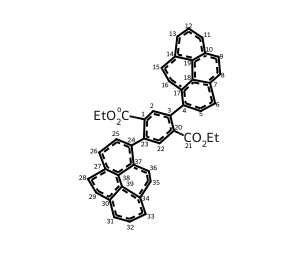 CCOC(=O)c1cc(-c2ccc3ccc4cccc5ccc2c3c45)c(C(=O)OCC)cc1-c1ccc2ccc3cccc4ccc1c2c34